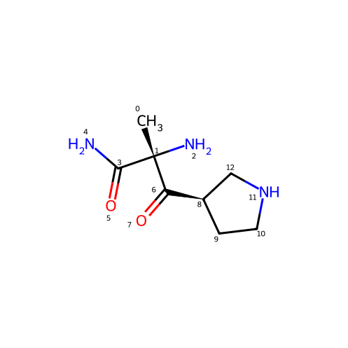 C[C@](N)(C(N)=O)C(=O)[C@@H]1CCNC1